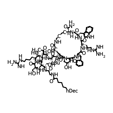 CCCCCCCCCCCCCCCC(=O)NCC(=O)N[C@@H](CO)[C@H](O)N[C@@H](CO)C(=O)N[C@@H](CCCCNC(=N)N)[C@H](O)N[C@@H](C(C)O)[C@H](O)N[C@@H](CCCC)[C@H](O)N[C@H]1CCC(=O)NCCCC[C@@H](C(N)=O)NC(=O)[C@H](Cc2c[nH]c3ccccc23)NC(=O)[C@H](CCCNC(=N)N)NC(=O)[C@@H](Cc2ccccc2)NC(=O)[C@@H]2C[C@@H](O)CN2[C@H]1O